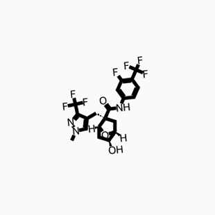 Cn1cc(C[C@]2(C(=O)Nc3ccc(C(F)(F)F)c(F)c3)C[C@H]3O[C@@H]2C[C@@H]3O)c(C(F)(F)F)n1